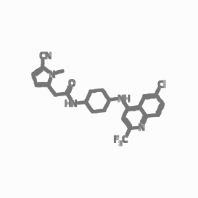 Cn1c(C#N)ccc1CC(=O)NC1CCC(Nc2cc(C(F)(F)F)nc3ccc(Cl)cc23)CC1